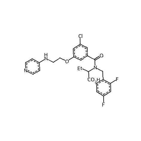 CCC(C(=O)O)N(Cc1ccc(F)cc1F)C(=O)c1cc(Cl)cc(OCCNc2ccncc2)c1